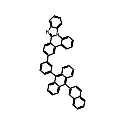 c1cc(-c2ccc3c(c2)c2ccccc2n2c4ccccc4nc32)cc(-c2c3ccccc3c(-c3ccc4ccccc4c3)c3ccccc23)c1